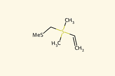 C=CS(C)(C)CSC